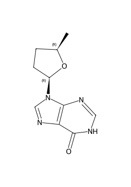 C[C@@H]1CC[C@H](n2cnc3c(=O)[nH]cnc32)O1